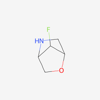 FC1C2COC1CN2